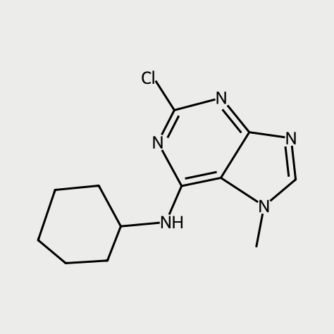 Cn1cnc2nc(Cl)nc(NC3CCCCC3)c21